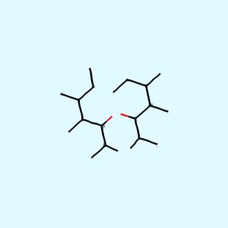 CCC(C)C(C)C(OC(C(C)C)C(C)C(C)CC)C(C)C